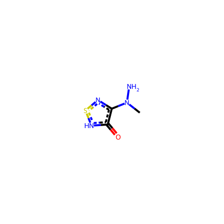 CN(N)c1ns[nH]c1=O